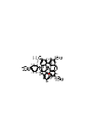 Cc1cc2c3c(c1)N(c1ccc(C(C)(C)C)cc1)C1Sc4ccccc4C1B3N1c3ccc(C(C)(C)C)cc3Oc3cc(C(C)(C)C)cc-2c31